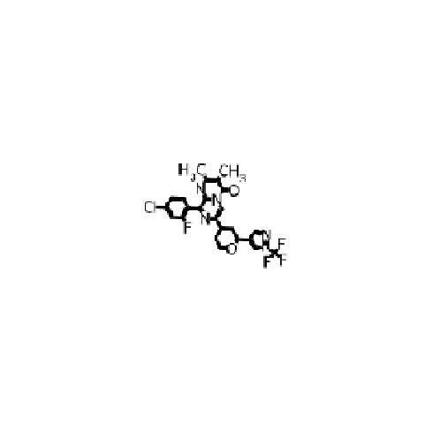 Cc1nc2c(-c3ccc(Cl)cc3F)nc(C3CCOC(c4cnn(C(F)(F)F)c4)C3)cn2c(=O)c1C